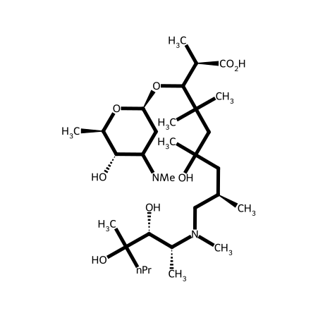 CCCC(C)(O)[C@H](O)[C@@H](C)N(C)C[C@H](C)CC(C)(O)CC(C)(C)C(O[C@H]1CC(NC)[C@H](O)[C@@H](C)O1)[C@@H](C)C(=O)O